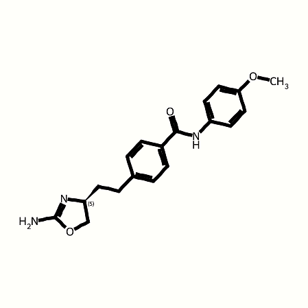 COc1ccc(NC(=O)c2ccc(CC[C@H]3COC(N)=N3)cc2)cc1